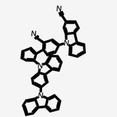 N#Cc1ccc2c3ccccc3n(-c3ccc(-c4ccccc4-n4c5ccccc5c5cc(-n6c7ccccc7c7ccccc76)ccc54)c(C#N)c3)c2c1